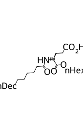 CCCCCCCCCCCCCCCC(=O)N[C@@H](CCC(=O)O)C(=O)OCCCCCC